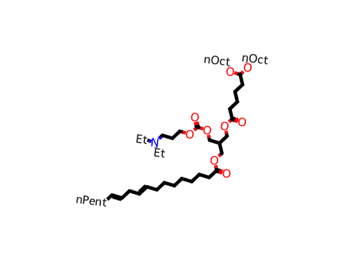 CCCCCC=CCC=CCCCCCCCC(=O)OCC(COC(=O)CCCCC(OCCCCCCCC)OCCCCCCCC)COC(=O)OCCCN(CC)CC